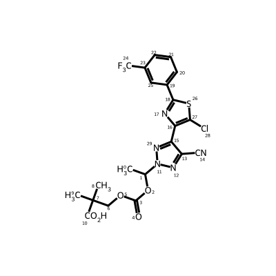 CC(OC(=O)OCC(C)(C)C(=O)O)n1nc(C#N)c(-c2nc(-c3cccc(C(F)(F)F)c3)sc2Cl)n1